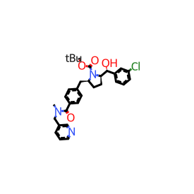 CN(Cc1cccnc1)C(=O)c1ccc(C[C@@H]2CC[C@H]([C@H](O)c3cccc(Cl)c3)N2C(=O)OC(C)(C)C)cc1